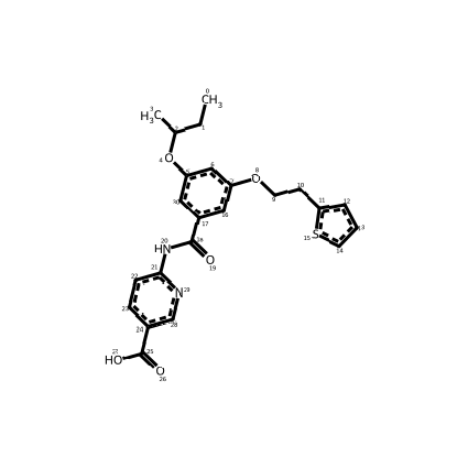 CCC(C)Oc1cc(OCCc2cccs2)cc(C(=O)Nc2ccc(C(=O)O)cn2)c1